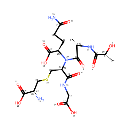 C[C@H](NC(=O)[C@@H](C)O)C(=O)N([C@H](CCC(N)=O)C(=O)O)[C@H](CSC[C@H](N)C(=O)O)C(=O)NCC(=O)O